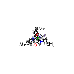 CNC(=O)C1CCN(c2cc(C)ccc2[C@H]2CN(C(=O)[C@]3(F)CN(C4CCC(OC)CC4)C[C@H]3c3ccc(OC)cc3)C[C@@H]2I)CC1